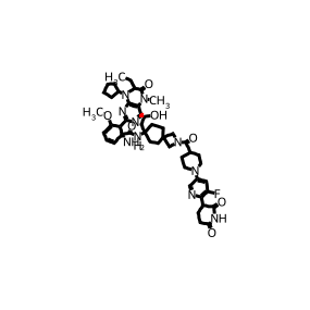 CCC1C(=O)N(C)c2cnc(C3C(OC)=CC=CC3(N)C(=O)NC3(CCO)CCC4(CC3)CN(C(=O)C3CCN(c5cnc(C6CCC(=O)NC6=O)c(F)c5)CC3)C4)nc2N1C1CCCC1